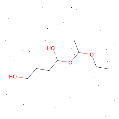 CCOC(C)OC(O)CCCO